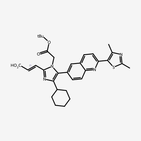 Cc1nc(C)c(-c2ccc3cc(-c4c(C5CCCCC5)nc(/C=C/C(=O)O)n4CC(=O)OC(C)(C)C)ccc3n2)s1